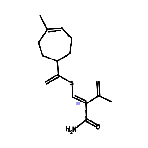 C=C(C)/C(=C\SC(=C)C1CCC=C(C)CC1)C(N)=O